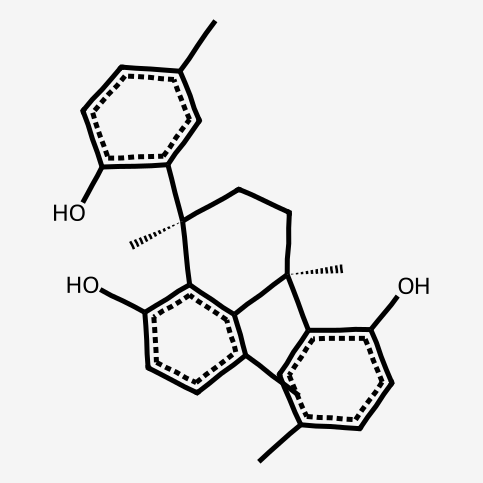 Cc1ccc(O)c([C@]2(C)CC[C@](C)(c3cc(C)ccc3O)c3c(O)ccc(C)c32)c1